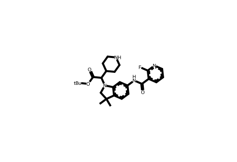 CC(C)(C)OC(=O)C(C1CCNCC1)N1CC(C)(C)c2ccc(NC(=O)c3cccnc3F)cc21